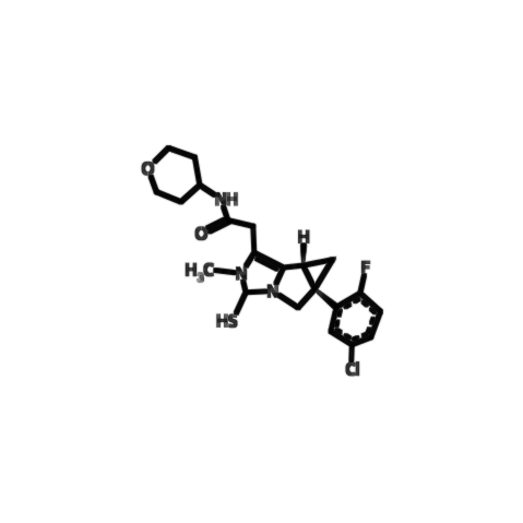 CN1C(CC(=O)NC2CCOCC2)=C2[C@@H]3C[C@]3(c3cc(Cl)ccc3F)CN2C1S